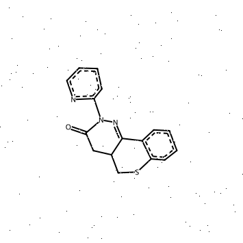 O=C1CC2CSc3ccccc3C2=NN1c1ccccn1